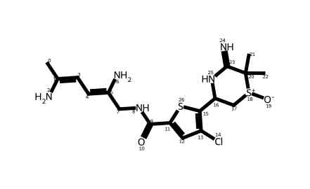 C/C(N)=C/C=C(\N)CNC(=O)c1cc(Cl)c(C2C[S+]([O-])C(C)(C)C(=N)N2)s1